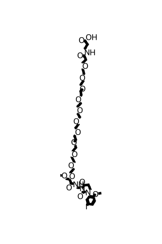 COCC(OCCOCCOCCOCCOCCOCCOCCOCCOCCOCCOCCC(=O)NCCC(=O)O)C(=O)NCN1C(=O)CCN(c2cc(I)ccc2OC)C1=O